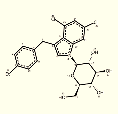 CCc1ccc(Cc2cn([C@@H]3O[C@H](CO)[C@@H](O)[C@H](O)[C@H]3O)c3cc(Cl)cc(Cl)c23)cc1